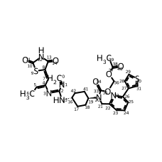 C=N\C(=N/C(=C\C)/C=C1\SC(=O)NC1=O)N[C@H]1CC[C@H](N(Cc2cccc(-c3ccsc3)n2)C(=O)OCOC(C)=O)CC1